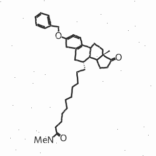 CNC(=O)CCCCCCCCCC[C@@H]1CC2=C(C=C=C(OCc3ccccc3)C2)C2CC[C@]3(C)C(=O)CCC3C21